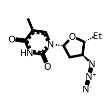 CC[C@H]1O[C@@H](n2cc(C)c(=O)[nH]c2=O)C[C@@H]1N=[N+]=[N-]